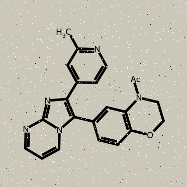 CC(=O)N1CCOc2ccc(-c3c(-c4ccnc(C)c4)nc4ncccn34)cc21